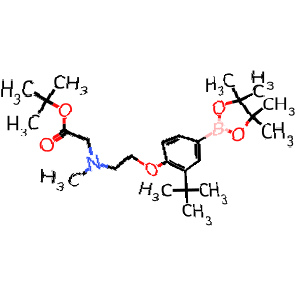 CN(CCOc1ccc(B2OC(C)(C)C(C)(C)O2)cc1C(C)(C)C)CC(=O)OC(C)(C)C